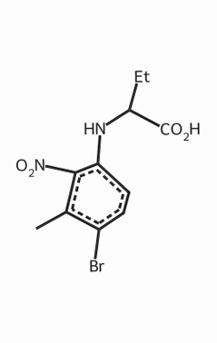 CCC(Nc1ccc(Br)c(C)c1[N+](=O)[O-])C(=O)O